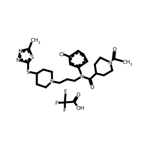 CC(=O)N1CCC(C(=O)N(CCCN2CCC(Sc3nnc(C)s3)CC2)c2cccc(Cl)c2)CC1.O=C(O)C(F)(F)F